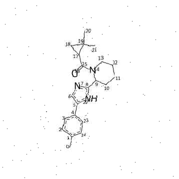 Cc1ccc(-c2cnc(C3CCCCN3C(=O)C3CC3(C)C)[nH]2)cc1